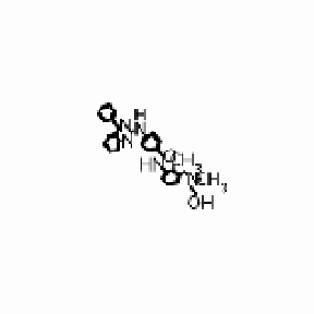 Cc1c(CN(C)CCO)cccc1NC(=O)c1ccc(Nc2nc(-c3ccccc3)c3ccccc3n2)cc1